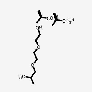 C=C(C)C(=O)O.C=C(C)C(=O)O.CC(O)COCCOCCO